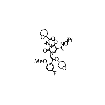 COc1ccc(F)cc1/C(=C/n1cc(/C(C)=N/OC(C)C)c(=O)n(N(C)C(=O)C2CCCCO2)c1=O)OC1CCOCC1